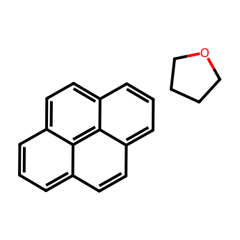 C1CCOC1.c1cc2ccc3cccc4ccc(c1)c2c34